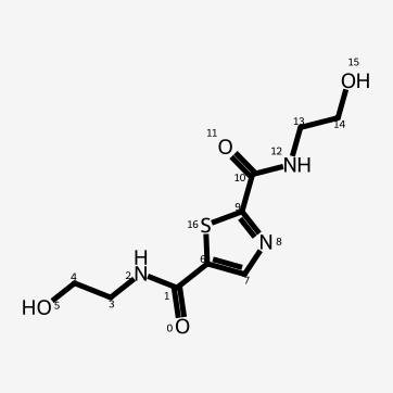 O=C(NCCO)c1cnc(C(=O)NCCO)s1